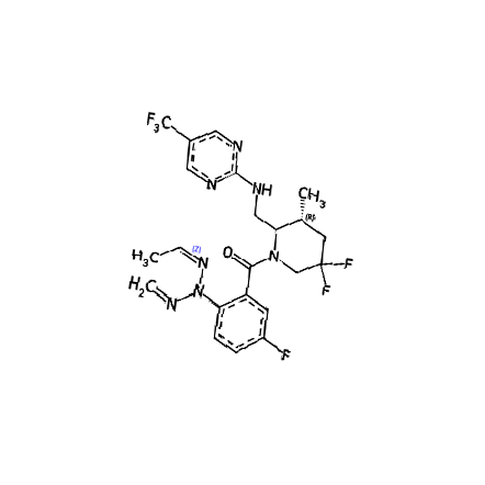 C=NN(/N=C\C)c1ccc(F)cc1C(=O)N1CC(F)(F)C[C@@H](C)C1CNc1ncc(C(F)(F)F)cn1